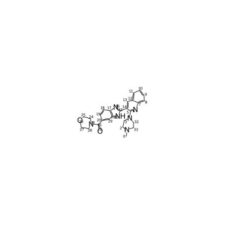 CN1CCN(c2nc3ccccc3cc2-c2nc3ccc(C(=O)N4CCOCC4)cc3[nH]2)CC1